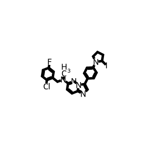 CN(Cc1cc(F)ccc1Cl)c1ccc2ncc(-c3ccc(N4CCCC4I)cc3)n2n1